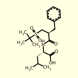 CC(C)C[C@H](NC(=O)[C@H](Cc1ccccc1)CS(=O)(=O)C(C)(C)C)C(=O)O